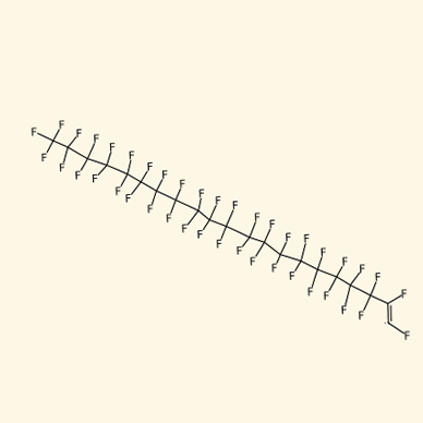 F/[C]=C(\F)C(F)(F)C(F)(F)C(F)(F)C(F)(F)C(F)(F)C(F)(F)C(F)(F)C(F)(F)C(F)(F)C(F)(F)C(F)(F)C(F)(F)C(F)(F)C(F)(F)C(F)(F)C(F)(F)C(F)(F)C(F)(F)C(F)(F)F